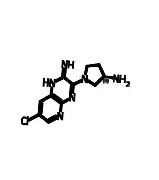 N=c1[nH]c2cc(Cl)cnc2nc1N1CC[C@@H](N)C1